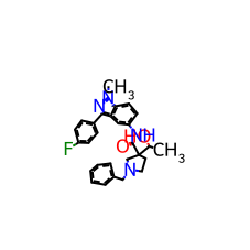 CC(O)C1(C(=O)Nc2ccc3c(c2)c(-c2ccc(F)cc2)nn3C)CCN(Cc2ccccc2)C1